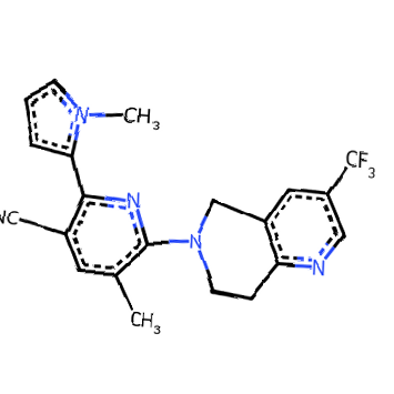 Cc1cc(C#N)c(-c2cccn2C)nc1N1CCc2ncc(C(F)(F)F)cc2C1